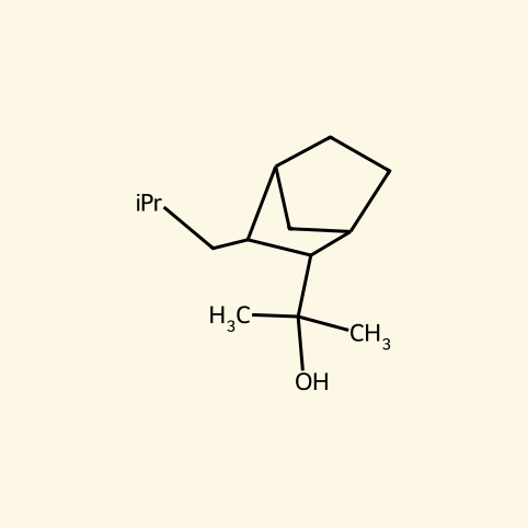 CC(C)CC1C2CCC(C2)C1C(C)(C)O